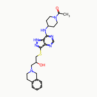 CC(=O)N1CCC(Nc2ncnc3c(SCC(O)CN4CCc5ccccc5C4)n[nH]c23)CC1